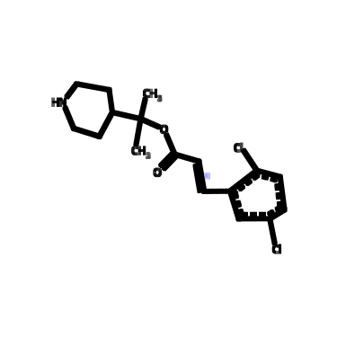 CC(C)(OC(=O)/C=C/c1cc(Cl)ccc1Cl)C1CCNCC1